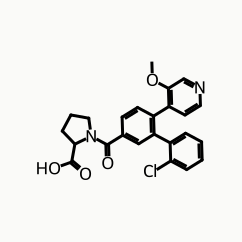 COc1cnccc1-c1ccc(C(=O)N2CCCC2C(=O)O)cc1-c1ccccc1Cl